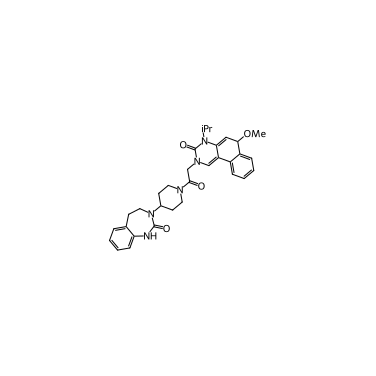 COC1C=C2C(=CN(CC(=O)N3CCC(N4CCc5ccccc5NC4=O)CC3)C(=O)N2C(C)C)c2ccccc21